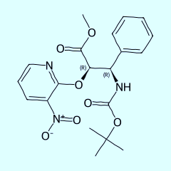 COC(=O)[C@H](Oc1ncccc1[N+](=O)[O-])[C@H](NC(=O)OC(C)(C)C)c1ccccc1